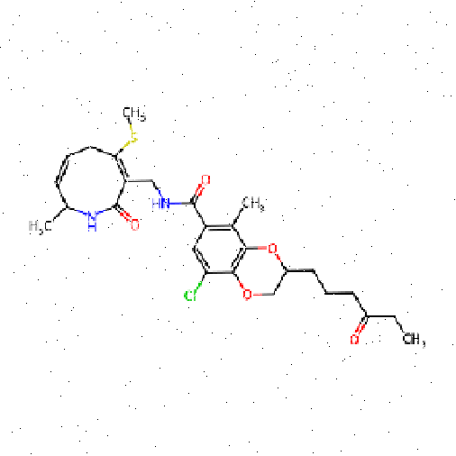 CCC(=O)CCCC1COc2c(Cl)cc(C(=O)NC/C3=C(\SC)C/C=C\C(C)NC3=O)c(C)c2O1